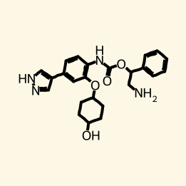 NCC(OC(=O)Nc1ccc(-c2cn[nH]c2)cc1OC1CCC(O)CC1)c1ccccc1